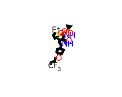 CCc1ccc(-c2cc(-c3ccc(OCCCC(F)(F)F)cc3)[nH]c(=O)c2C(=O)NS(=O)(=O)C2CC2)s1